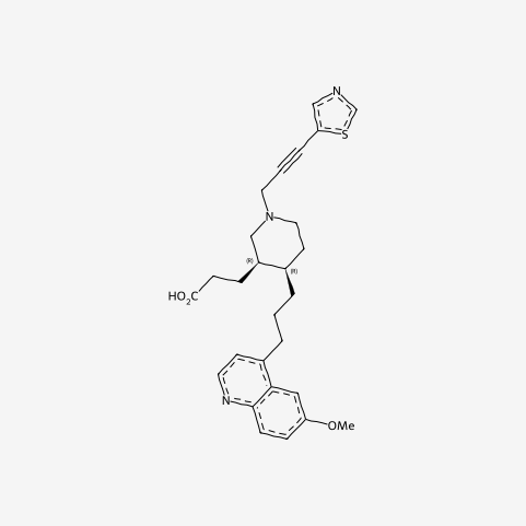 COc1ccc2nccc(CCC[C@@H]3CCN(CC#Cc4cncs4)C[C@@H]3CCC(=O)O)c2c1